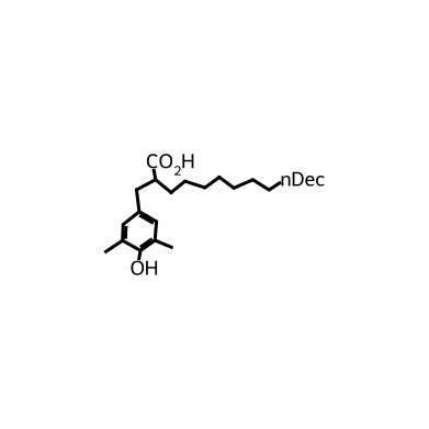 CCCCCCCCCCCCCCCCCC(Cc1cc(C)c(O)c(C)c1)C(=O)O